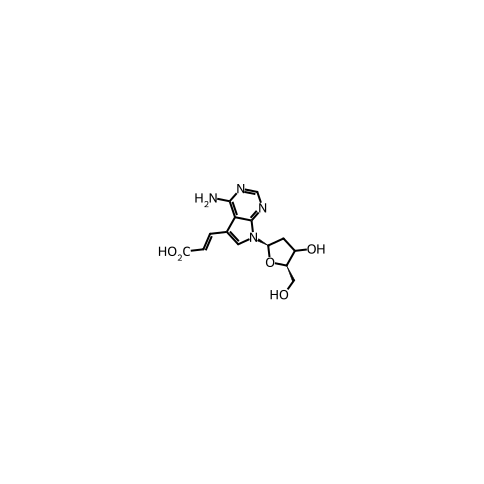 Nc1ncnc2c1c(/C=C/C(=O)O)cn2[C@H]1CC(O)[C@@H](CO)O1